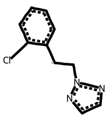 Clc1ccccc1[CH]Cn1nccn1